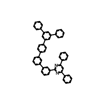 c1ccc(-c2cc(-c3ccccc3)cc(-c3ccc(-c4cccc(-c5cccc(-c6nc(-c7ccccc7)cc(-c7ccccc7)n6)c5)c4)cc3)c2)cc1